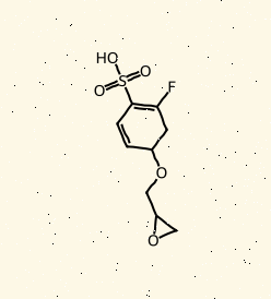 O=S(=O)(O)C1=C(F)CC(OCC2CO2)C=C1